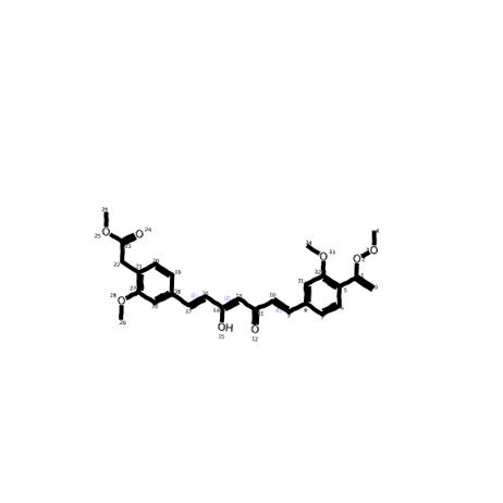 C=C(OOC)c1ccc(/C=C/C(=O)/C=C(O)/C=C/c2ccc(CC(=O)OC)c(OC)c2)cc1OC